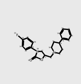 O=C1OC(CN2CCC(c3ccccc3)CC2)CN1c1ccc(F)cc1